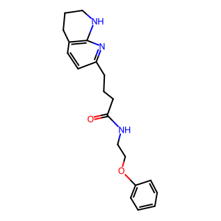 O=C(CCCc1ccc2c(n1)NCCC2)NCCOc1ccccc1